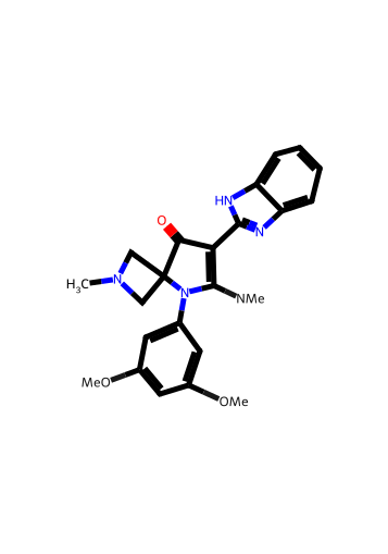 CNC1=C(c2nc3ccccc3[nH]2)C(=O)C2(CN(C)C2)N1c1cc(OC)cc(OC)c1